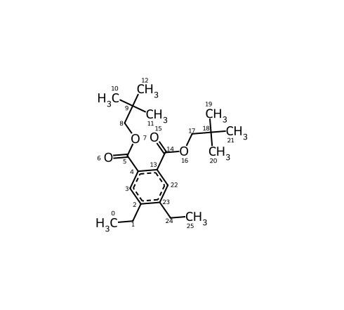 CCc1cc(C(=O)OCC(C)(C)C)c(C(=O)OCC(C)(C)C)cc1CC